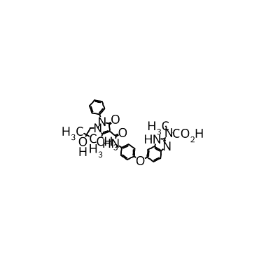 Cc1c(C(=O)Nc2ccc(Oc3ccc4nc(N(C)C(=O)O)[nH]c4c3)cc2)c(=O)n(-c2ccccc2)n1CC(C)(C)O